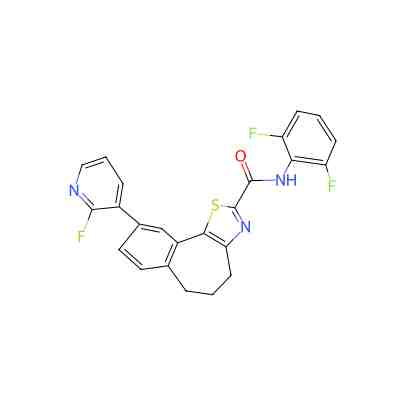 O=C(Nc1c(F)cccc1F)c1nc2c(s1)-c1cc(-c3cccnc3F)ccc1CCC2